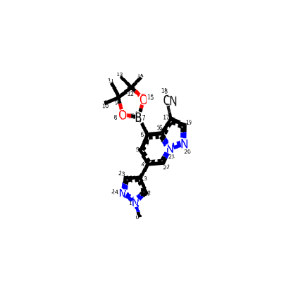 Cn1cc(-c2cc(B3OC(C)(C)C(C)(C)O3)c3c(C#N)cnn3c2)cn1